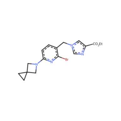 CCOC(=O)c1cn(Cc2ccc(N3CC4(CC4)C3)nc2Br)cn1